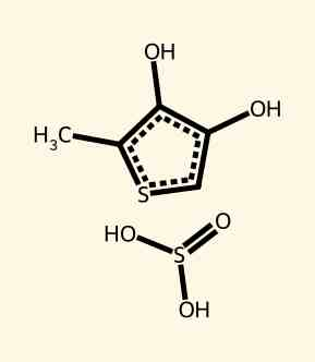 Cc1scc(O)c1O.O=S(O)O